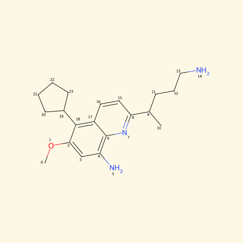 COc1cc(N)c2nc(C(C)CCCN)ccc2c1C1CCCC1